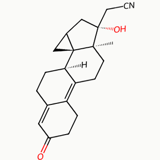 C[C@]12CCC3=C4CCC(=O)C=C4CC[C@H]3[C@@]13CC3C[C@@]2(O)CC#N